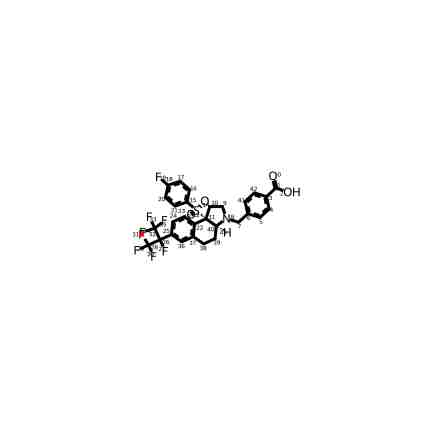 O=C(O)c1ccc(CN2CC[C@]3(S(=O)(=O)c4ccc(F)cc4)c4ccc(C(F)(C(F)(F)F)C(F)(F)F)cc4CC[C@H]23)cc1